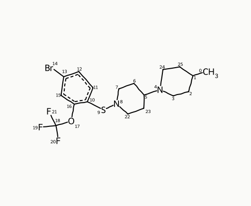 CC1CCN(C2CCN(Sc3ccc(Br)cc3OC(F)(F)F)CC2)CC1